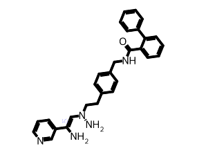 N/C(=C\N(N)CCc1ccc(CNC(=O)c2ccccc2-c2ccccc2)cc1)c1cccnc1